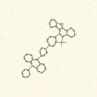 CC1(C)c2cc(-c3ccc(-c4c5ccccc5c(-c5ccccc5)c5ccccc45)cc3)ccc2-c2c1c1ccccc1c1oc3ccccc3c21